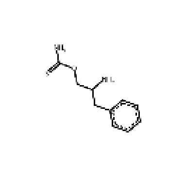 NC(=S)OCC(N)Cc1ccccc1